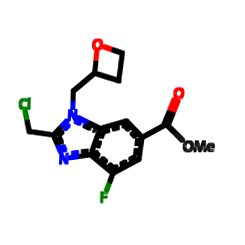 COC(=O)c1cc(F)c2nc(CCl)n(CC3CCO3)c2c1